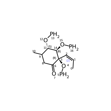 C/C=C\[C@]1(OP)C(=O)CC(C)[C@H](OP)[C@H]1OP